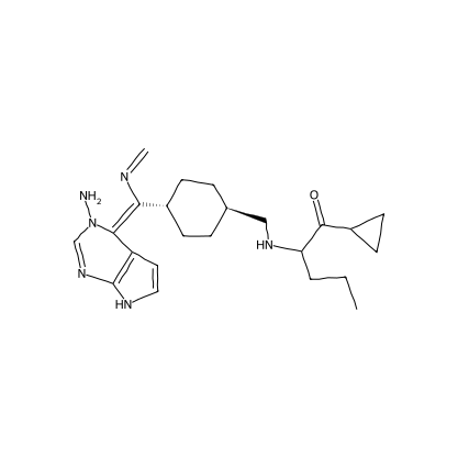 C=N/C(=C1/c2cc[nH]c2N=CN1N)[C@H]1CC[C@H](CNC(CCC)C(=O)C2CC2)CC1